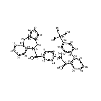 O=C(Nc1ccc(C(=O)N2Cc3cccn3Cc3ccccc32)cc1)c1ccccc1-c1ccc(C(F)(F)F)cc1